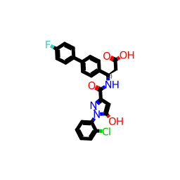 O=C(O)C[C@@H](NC(=O)c1cc(O)n(-c2ccccc2Cl)n1)c1ccc(-c2ccc(F)cc2)cc1